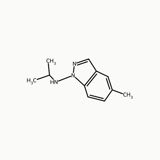 Cc1ccc2c(cnn2NC(C)C)c1